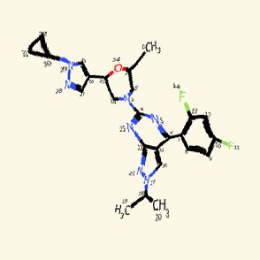 CC1CN(c2nc(-c3ccc(F)cc3F)c3cn(C(C)C)nc3n2)CC(c2cnn(C3CC3)c2)O1